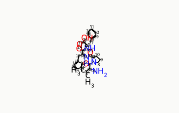 CC(C)[C@H](N)C(=O)N1CCC[C@H]1C(=O)N[C@@H](Cc1ccccc1)C(=O)N[C@@H](Cc1ccccc1)C(=O)O